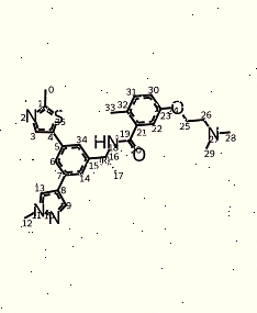 Cc1ncc(-c2cc(-c3cnn(C)c3)cc([C@@H](C)NC(=O)c3cc(OCCN(C)C)ccc3C)c2)s1